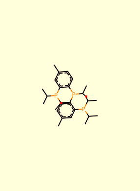 Cc1ccc(P(c2ccc(C)cc2P(C(C)C)C(C)C)C(C)C)c(P(C(C)C)C(C)C)c1